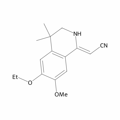 CCOc1cc2c(cc1OC)C(=CC#N)NCC2(C)C